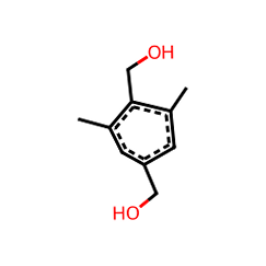 Cc1cc(CO)cc(C)c1CO